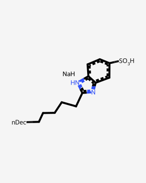 CCCCCCCCCCCCCCCc1nc2cc(S(=O)(=O)O)ccc2[nH]1.[NaH]